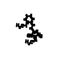 CCN1C=CC=CC1=CC=C1SC(=S)N(CC)C1=O